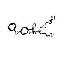 CCOCOC[C@H](CCCBr)NC(=O)c1ccc(Oc2ccccc2)cc1